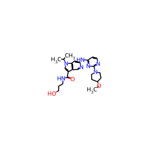 COC1CCN(c2nccc(Nc3cc4c(cn3)c(C(=O)NCCCO)cn4C(C)C)n2)CC1